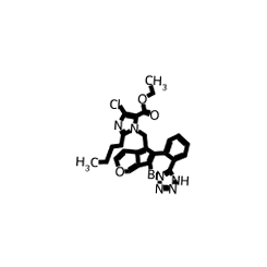 CCCCc1nc(Cl)c(C(=O)OCC)n1Cc1c2ccocc-2c(Br)c1-c1ccccc1-c1nnn[nH]1